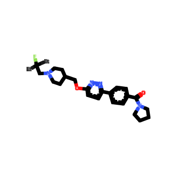 CCC(F)(CC)CN1CCC(COc2ccc(-c3ccc(C(=O)N4CCCC4)cc3)nn2)CC1